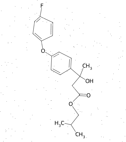 CC(C)COC(=O)CC(C)(O)c1ccc(Oc2ccc(F)cc2)cc1